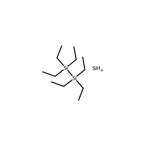 CC[Si](CC)(CC)[Si](CC)(CC)CC.[SiH4]